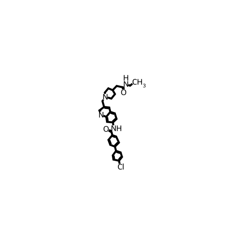 CCNC(=O)CC1CCN(Cc2cnc3cc(NC(=O)c4ccc(-c5ccc(Cl)cc5)cc4)ccc3c2)CC1